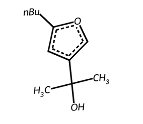 CCCCc1cc(C(C)(C)O)co1